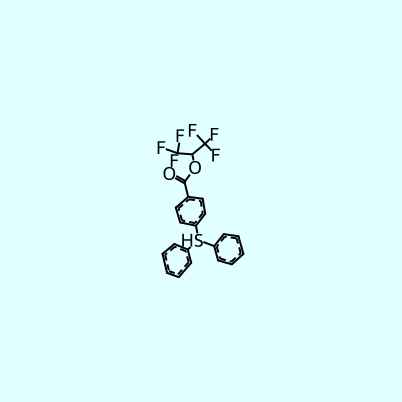 O=C(OC(C(F)(F)F)C(F)(F)F)c1ccc([SH](c2ccccc2)c2ccccc2)cc1